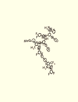 COCC1CCCN(c2cc(C)c(-c3ncn(-c4cc(F)cc(F)c4)n3)c(N)n2)C1.Fc1ccc(-n2cnc(Nc3cc(Cl)cc(N4CC(N5CCOCC5)C4)c3)n2)cc1F.Nc1nc(-c2cc(Cl)cc(N3CC(N4CCOCC4)C3)c2)n(-c2ccccn2)n1.Nc1nc(N2CCN([C@H]3CCOC3)CC2)cc(C(F)(F)F)c1-c1ncn(-c2cc(F)cc(F)c2)n1